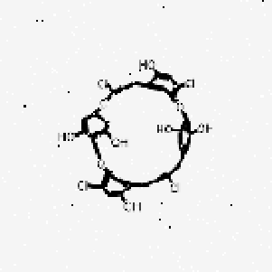 OC1=CC2CC(O)=C1Oc1cc(c(O)cc1Cl)C/C=C(/Cl)Cc1cc(O)c(c(O)c1)Oc1cc(c(O)cc1Cl)C/C=C(/Cl)C2